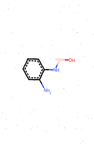 Nc1ccccc1NBO